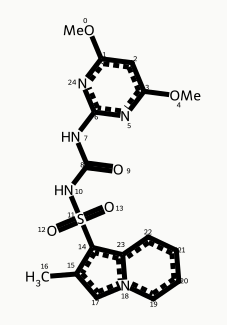 COc1cc(OC)nc(NC(=O)NS(=O)(=O)c2c(C)cn3ccccc23)n1